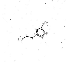 CC(C)c1cn(CCO)cn1